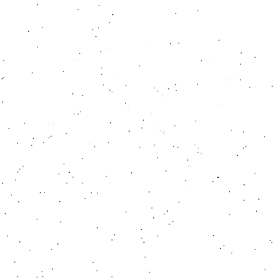 Cc1ccc2nc(-c3cccc4c3N(Cc3ccc(F)cc3)C(C=S=O)CC4)[nH]c2c1